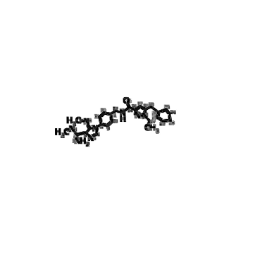 C=N/C(N)=C1/N=CN(c2ccc(CNC(=O)c3cc(Cc4ccccc4)n(CC)n3)cc2)/C1=N/C